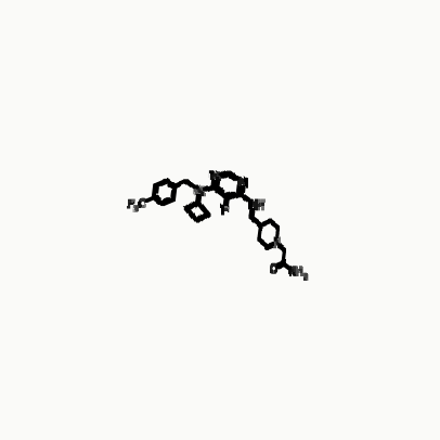 NC(=O)CN1CCC(CNc2ncnc(N(Cc3ccc(C(F)(F)F)cc3)C3CCC3)c2F)CC1